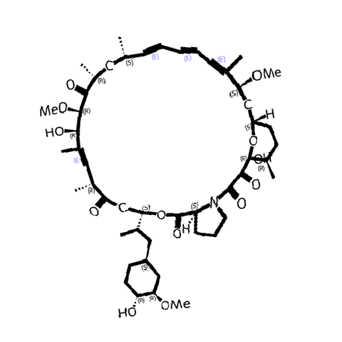 CO[C@H]1C[C@@H]2CC[C@@H](C)[C@@](O)(O2)C(=O)C(=O)N2CCC[C@H]2C(=O)O[C@H](C(C)C[C@@H]2CC[C@@H](O)[C@H](OC)C2)CC(=O)[C@H](C)/C=C(\C)[C@@H](O)[C@@H](OC)C(=O)[C@H](C)C[C@H](C)/C=C/C=C/C=C/1C